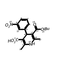 CC1=C(C(=O)O)C(c2cccc([N+](=O)[O-])c2)C(C(=O)OCC(C)C)=C(C)N1